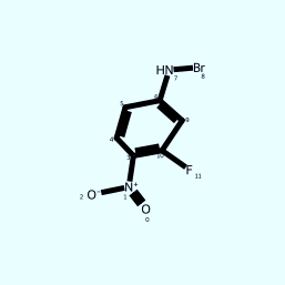 O=[N+]([O-])c1ccc(NBr)cc1F